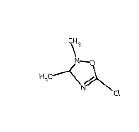 CC1N=C(Cl)ON1C